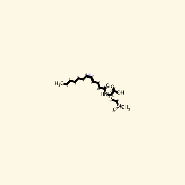 CCCCCC/C=C\CCCC(=O)N[C@@H](CC[S+](C)[O-])C(=O)O